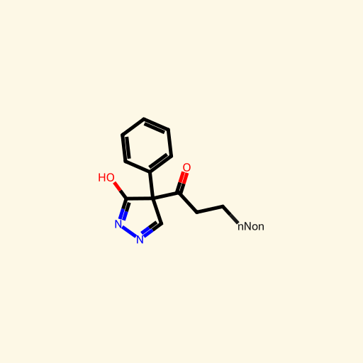 CCCCCCCCCCCC(=O)C1(c2ccccc2)C=NN=C1O